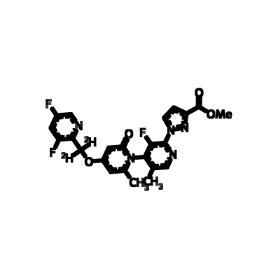 [2H]C([2H])(Oc1cc(C)n(-c2c(C)cnc(-n3ccc(C(=O)OC)n3)c2F)c(=O)c1)c1ncc(F)cc1F